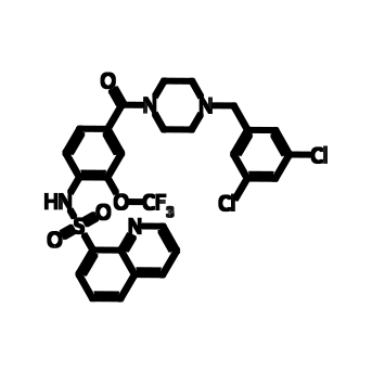 O=C(c1ccc(NS(=O)(=O)c2cccc3cccnc23)c(OC(F)(F)F)c1)N1CCN(Cc2cc(Cl)cc(Cl)c2)CC1